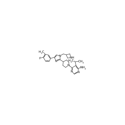 Cc1cc(-c2cn(CC3CNC3)c(C3CCN(c4ncnc(N)c4C(C)C)CC3)n2)ccc1F